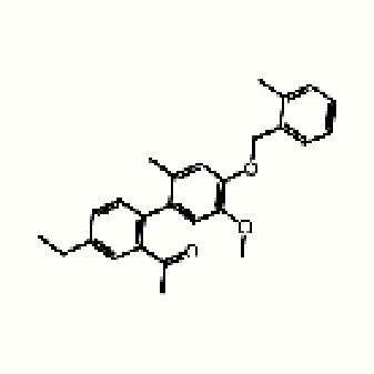 CCc1ccc(-c2cc(OC)c(OCc3ccccc3C)cc2C)c(C(C)=O)c1